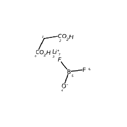 O=C(O)CC(=O)O.[Li+].[O-]B(F)F